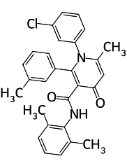 Cc1cccc(-c2c(C(=O)Nc3c(C)cccc3C)c(=O)cc(C)n2-c2cccc(Cl)c2)c1